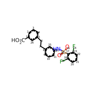 O=C(O)c1cccc(CCc2cccc(NS(=O)(=O)c3c(F)cccc3F)c2)c1